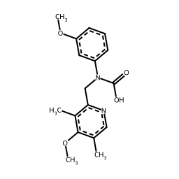 COc1cccc(N(Cc2ncc(C)c(OC)c2C)C(=O)O)c1